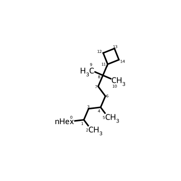 CCCCCCC(C)CC(C)CCC(C)(C)[C]1CCC1